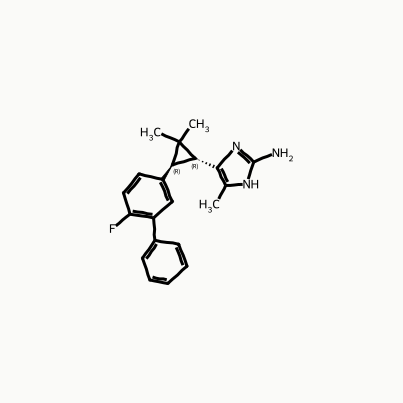 Cc1[nH]c(N)nc1[C@@H]1[C@@H](c2ccc(F)c(-c3ccccc3)c2)C1(C)C